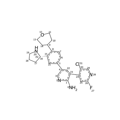 Nc1ncc(-c2ccc(C3CCOCC3)c([C@@H]3CCCN3)c2)cc1-c1cc(F)ncc1Cl